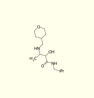 CC(C)CNC(=O)C(O)C(C)NCC1CCOCC1